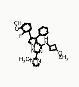 COc1cccc(-c2cn3nc(-c4nccn4C)nc(NC4CC(OC)C4)c3c2-c2ccccc2)c1F